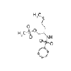 CSCC[C@@H](COS(C)(=O)=O)NS(=O)(=O)c1ccccc1